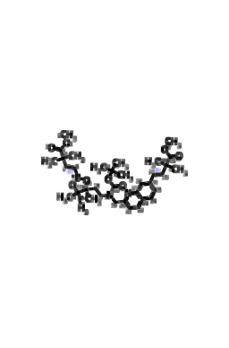 COC(=O)C(C)(C)/C=C/B1OC(C)(C)C(C)(CCN(Cc2ccc3ccc(/C=C/C(C)(C)C(=O)OC)cc3n2)C(=O)OC(C)(C)C)O1